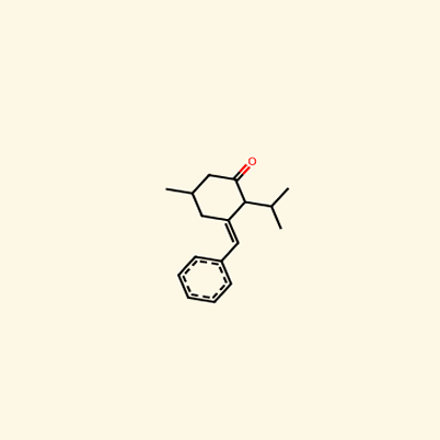 CC1CC(=O)C(C(C)C)C(=Cc2ccccc2)C1